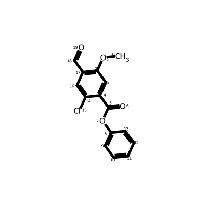 COc1cc(C(=O)Oc2ccccc2)c(Cl)cc1C=O